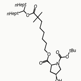 CCCCCCCC(CCCCCCC)OC(=O)C(C)(C)CCCCCCOC(=O)[C@@H]1C[C@H](O)CN1C(=O)OC(C)(C)C